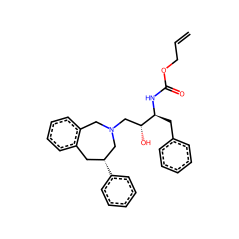 C=CCOC(=O)N[C@@H](Cc1ccccc1)[C@H](O)CN1Cc2ccccc2C[C@@H](c2ccccc2)C1